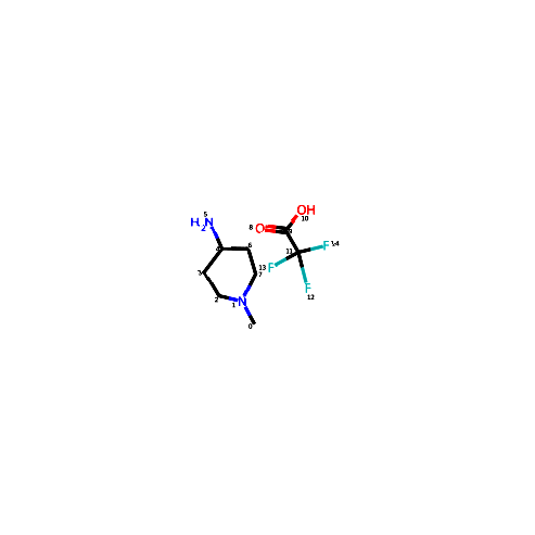 CN1CCC(N)CC1.O=C(O)C(F)(F)F